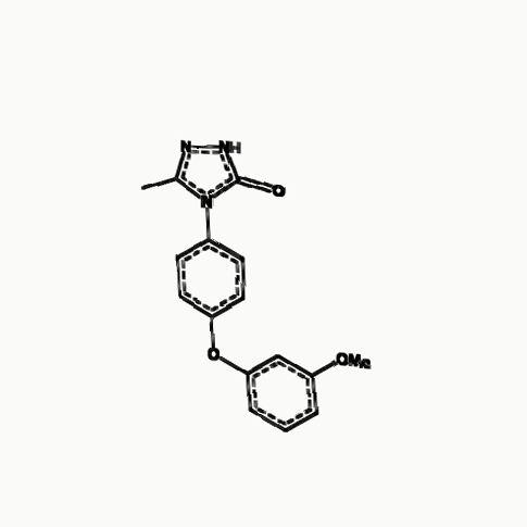 COc1cccc(Oc2ccc(-n3c(C)n[nH]c3=O)cc2)c1